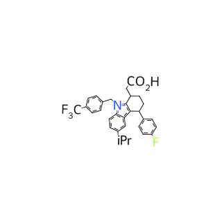 CC(C)c1ccc2c(c1)c1c(n2Cc2ccc(C(F)(F)F)cc2)C(CC(=O)O)CCC1c1ccc(F)cc1